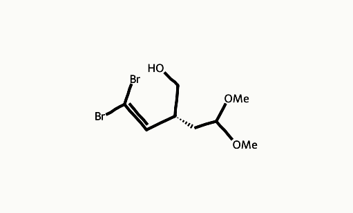 COC(C[C@H](C=C(Br)Br)CO)OC